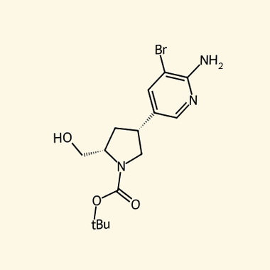 CC(C)(C)OC(=O)N1C[C@@H](c2cnc(N)c(Br)c2)C[C@H]1CO